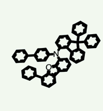 c1ccc(-c2ccc(N(c3cccc4c3-c3ccccc3C4(c3ccccc3)c3ccccc3)c3cccc4c3oc3c(-c5ccccc5)cccc34)cc2)cc1